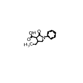 CCC1CN(c2ccccc2)C(=O)C1C(=O)O